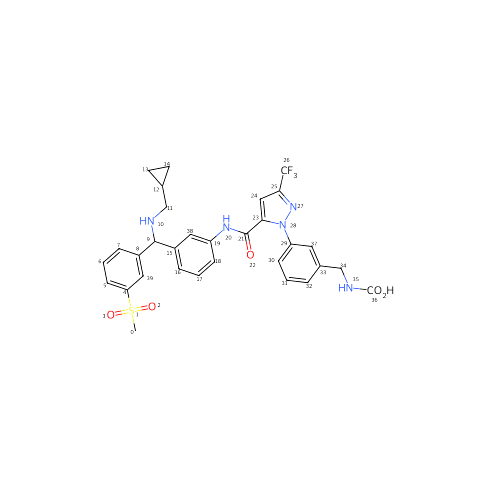 CS(=O)(=O)c1cccc(C(NCC2CC2)c2cccc(NC(=O)c3cc(C(F)(F)F)nn3-c3cccc(CNC(=O)O)c3)c2)c1